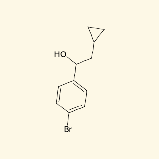 OC(CC1CC1)c1ccc(Br)cc1